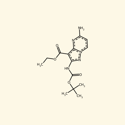 CCOC(=O)c1c(NC(=O)OC(C)(C)C)nn2ccc(N)nc12